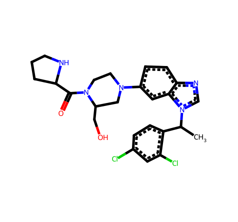 CC(c1ccc(Cl)cc1Cl)n1cnc2ccc(N3CCN(C(=O)C4CCCN4)C(CO)C3)cc21